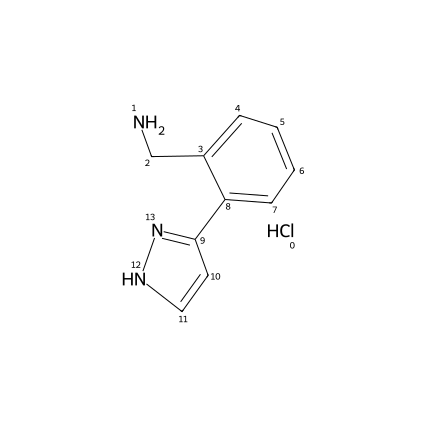 Cl.NCc1ccccc1-c1cc[nH]n1